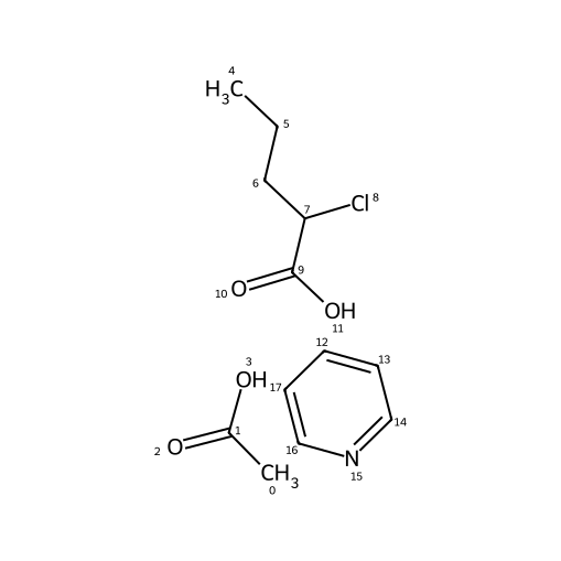 CC(=O)O.CCCC(Cl)C(=O)O.c1ccncc1